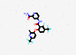 Cc1nc(C(F)(F)F)ccc1Oc1ccc(C(F)(F)F)c(F)c1C(=O)Nc1ccnc(C(N)=O)c1